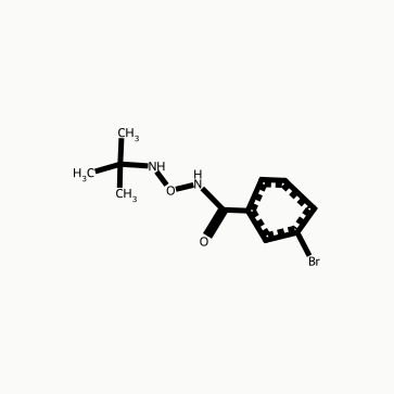 CC(C)(C)NONC(=O)c1cccc(Br)c1